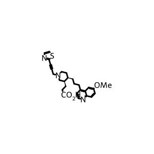 COc1ccc2nccc(CCC[C@@H]3CCN(CC#Cc4nccs4)C[C@@H]3CCC(=O)O)c2c1